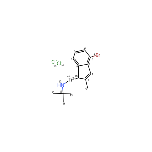 CC1=Cc2c(Br)cccc2[CH]1[Ti+2][NH]C(C)(C)C.[Cl-].[Cl-]